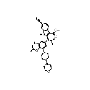 COC(=O)c1c(N(c2cc(F)c(OC(C)C)c(N3CCC(N4CCOCC4)CC3)c2)C(C)C)[nH]c2cc(C#N)ccc12